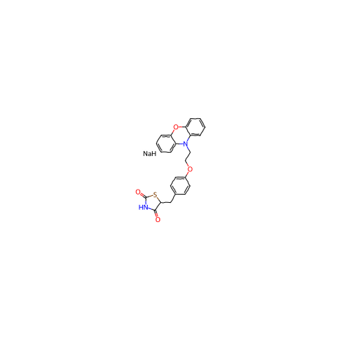 O=C1NC(=O)C(Cc2ccc(OCCN3c4ccccc4Oc4ccccc43)cc2)S1.[NaH]